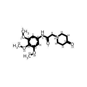 COc1cc(NC(=O)CN2CCC(=O)CC2)cc(OC)c1OC